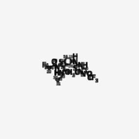 Cn1nc(OC(F)(F)F)cc1NC(=S)N[C@H]1CCc2sc(NC(=O)[C@H]3C[C@H]3F)c(C(=O)NCC3CC3)c2C1